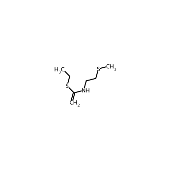 C=C(NCCSC)SCC